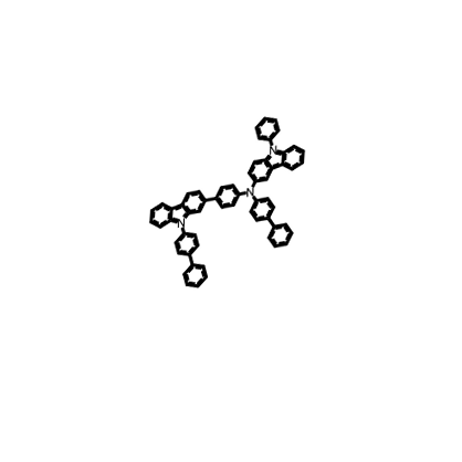 c1ccc(-c2ccc(N(c3ccc(-c4ccc5c6ccccc6n(-c6ccc(-c7ccccc7)cc6)c5c4)cc3)c3ccc4c(c3)c3ccccc3n4-c3ccccc3)cc2)cc1